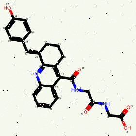 O=C(O)CNC(=O)CNC(=O)c1c2c(nc3ccccc13)/C(=C/c1ccc(O)cc1)CCC2